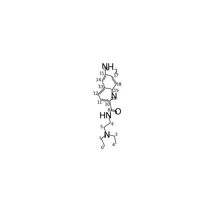 CCN(CC)CCNC(=O)c1ccc2cc(N)ccc2n1